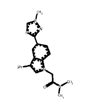 CC(C)c1cn(CC(=O)N(C)C)c2ccc(-c3ncn(C)n3)cc12